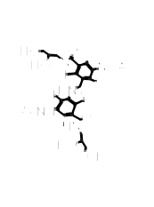 CC(=O)Nc1c(I)c(NC(=O)c2c(I)c(NC(C)=O)c(I)c(C(=O)NCC(O)CO)c2I)c(I)c(C(=O)NCC(O)CO)c1I